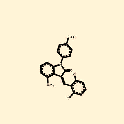 COc1cccc2c1/C(=C/c1c(Cl)cccc1Cl)C(=O)N2c1ccc(C(=O)O)cc1